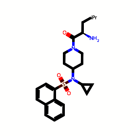 CC(C)C[C@@H](N)C(=O)N1CCC(N(C2CC2)S(=O)(=O)c2cccc3ccccc23)CC1